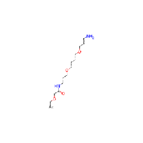 CC(=O)COCC(=O)NCCCOCCCCOCCCN